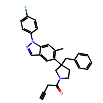 C#CCC(=O)N1CCC(Cc2ccccc2)(c2cc3cnn(-c4ccc(F)cc4)c3cc2C)C1